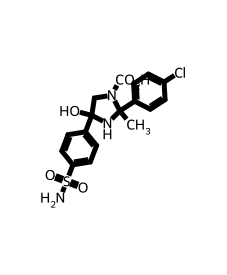 CC1(c2ccc(Cl)cc2)NC(O)(c2ccc(S(N)(=O)=O)cc2)CN1C(=O)O